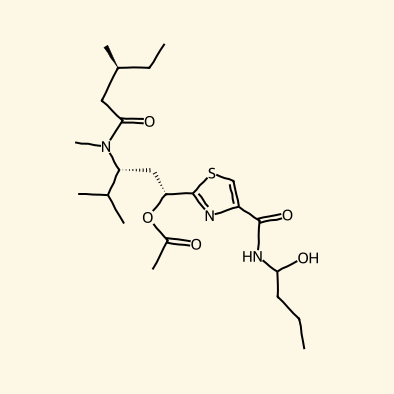 CCCC(O)NC(=O)c1csc([C@@H](C[C@H](C(C)C)N(C)C(=O)C[C@@H](C)CC)OC(C)=O)n1